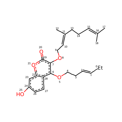 CC/C=C/CCOc1c(OC/C=C(\C)CCC=C(C)C)c(=O)oc2cc(O)ccc12